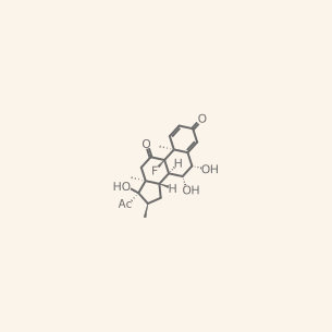 CC(=O)[C@@]1(O)[C@H](C)C[C@H]2[C@@H]3[C@@H](O)[C@@H](O)C4=CC(=O)C=C[C@]4(C)[C@@]3(F)C(=O)C[C@@]21C